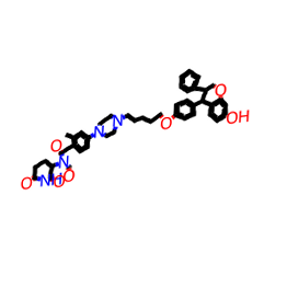 Cc1cc(N2CCN(CCCCCOc3ccc(C4c5ccc(O)cc5OCC4c4ccccc4)cc3)CC2)ccc1C(=O)N(C=O)C1CCC(=O)NC1=O